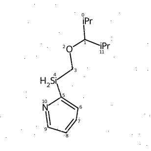 CC(C)C(OC[SiH2]c1ccccn1)C(C)C